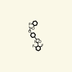 CP(Oc1ccc(C2COC(c3c(F)cccc3F)=N2)cc1)Oc1ccccc1F